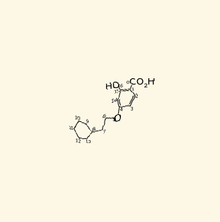 O=C(O)c1ccc(OCCC2CCCCC2)cc1O